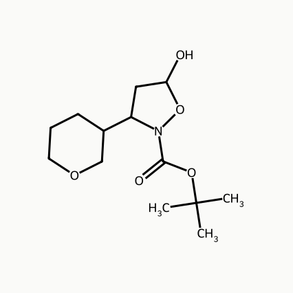 CC(C)(C)OC(=O)N1OC(O)CC1C1CCCOC1